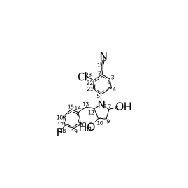 N#Cc1ccc(N2C(O)C=C(O)C2Cc2ccc(F)cc2)cc1Cl